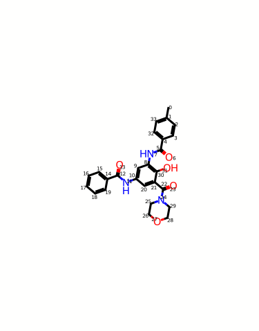 Cc1ccc(C(=O)Nc2cc(NC(=O)c3ccccc3)cc(C(=O)N3CCOCC3)c2O)cc1